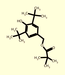 CC(C)(C)C(=O)OCc1cc(C(C)(C)C)c(O)c(C(C)(C)C)c1